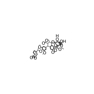 COc1cc(C2c3cc4c(cc3C(O[C@@H]3O[C@@H]5COC(C)O[C@H]5[C@H](O)[C@H]3O)C3COC(=O)C23)OCO4)cc(OC)c1OC(C)c1ccc([N+](=O)[O-])s1